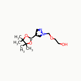 CC1(C)OB(c2cnn(COCCO)c2)OC1(C)C